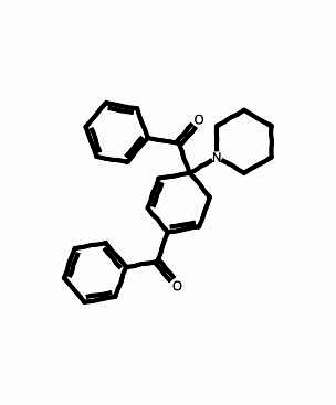 O=C(C1=CCC(C(=O)c2ccccc2)(N2CCCCC2)C=C1)c1ccccc1